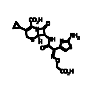 Nc1nc(/C(=N\OCC(=O)O)C(=O)N[C@@H]2C(=O)N3C(C(=O)O)=C(C4CC4)CS[C@H]23)cs1